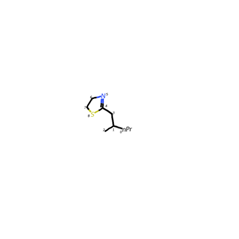 CCCC(C)CC1=N[CH]CS1